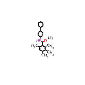 Cc1cc(C)c(C(=O)Pc2ccc(-c3ccccc3)cc2)c(C)c1C.[LiH]